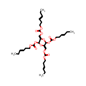 CCC=CCCOC(=O)OC=C1OC(OC(=O)OCCC=CCC)C(=COC(=O)OCCC=CCC)OC1OC(=O)OCCC=CCC